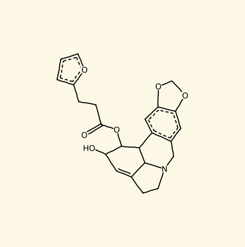 O=C(CCc1ccco1)OC1C(O)C=C2CCN3Cc4cc5c(cc4C1C23)OCO5